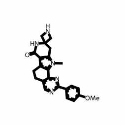 COc1ccc(-c2ncc3c(n2)-c2c(c4c(n2C)CC2(CNC2)NC4=O)CC3)cc1